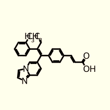 CCC(=C(c1ccc(C=CC(=O)O)cc1)c1ccc2nccn2c1)c1ccccc1C